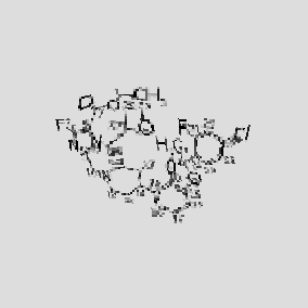 CCOC(=O)c1c(F)nc(CN2CCC(c3cccc4c3OC(C)(c3ccc(Cl)cc3F)O4)CC2)n1CC1CCO1